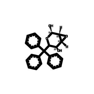 O[C@@H]1C(C(c2ccccc2)(c2ccccc2)c2ccccc2)O[C@H](O)[C@H]2O[C@@H]21